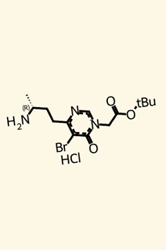 C[C@@H](N)CCc1ncn(CC(=O)OC(C)(C)C)c(=O)c1Br.Cl